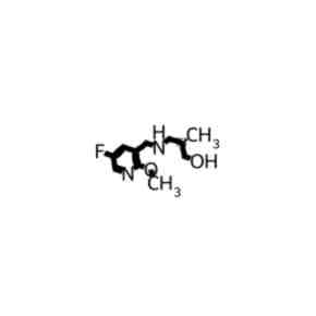 COc1ncc(F)cc1CNC[C@H](C)CO